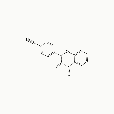 C=C1C(=O)c2ccccc2OC1c1ccc(C#N)cc1